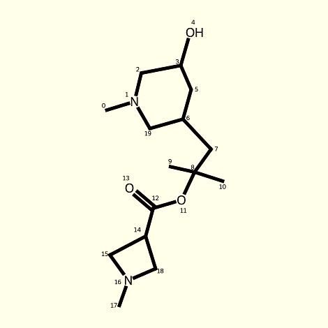 CN1CC(O)CC(CC(C)(C)OC(=O)C2CN(C)C2)C1